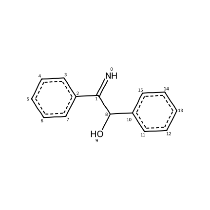 N=C(c1ccccc1)C(O)c1ccccc1